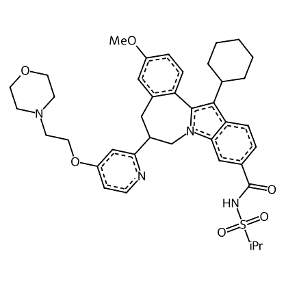 COc1ccc2c(c1)CC(c1cc(OCCN3CCOCC3)ccn1)Cn1c-2c(C2CCCCC2)c2ccc(C(=O)NS(=O)(=O)C(C)C)cc21